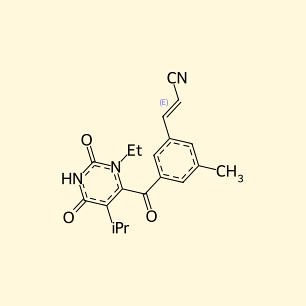 CCn1c(C(=O)c2cc(C)cc(/C=C/C#N)c2)c(C(C)C)c(=O)[nH]c1=O